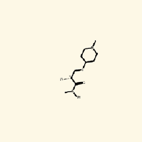 CC(C)[C@H](CSC1CCN(C)CC1)C(=O)N(C)C(C)C